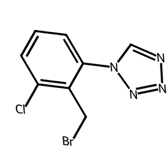 Clc1cccc(-n2cnnn2)c1CBr